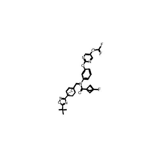 CC(C)(C)c1nc(C23CCC(CN(C(=O)C45CC(F)(C4)C5)c4cccc(Oc5ncc(OC(F)F)cn5)c4)(CC2)CC3)no1